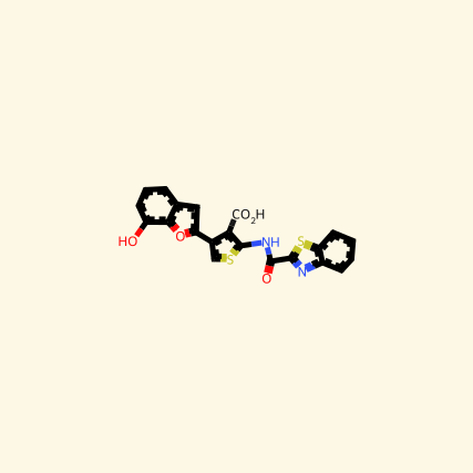 O=C(Nc1scc(-c2cc3cccc(O)c3o2)c1C(=O)O)c1nc2ccccc2s1